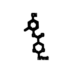 CCCCCC1OCC(C(=O)Oc2ccc(C#N)cc2C)CO1